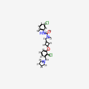 Cc1ccc(Cl)cc1NC(=O)N(C)CC1CC(Oc2cccc(CN3CCCC3)c2Cl)C1